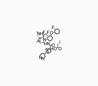 CCCC(=O)O.CNC[C@@H]1CN(c2c(NC(=O)c3ccn(-c4ccnnc4)n3)ccc(Oc3ccccc3F)c2C(F)(F)F)CCN1C